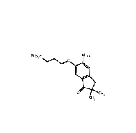 CCCCCCc1cc2c(cc1OCCCC(=O)OCC)C(=O)C(C)(C)C2